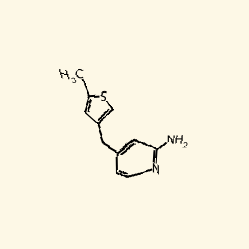 Cc1cc(Cc2ccnc(N)c2)cs1